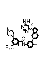 Cc1ccc(NC(=O)c2cc(N3CCN(C)CC3)cc(C(F)(F)F)c2)cc1-c1ccc2ccn(-c3cc(N)ncn3)c2c1